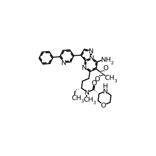 CC[C@H](CCc1nc2c(-c3ccc(-c4ccccc4)nc3)cnn2c(N)c1S(C)(=O)=O)N(C)C(=O)[C@H]1COCCN1